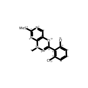 CSc1ncc2c(n1)N(C)N=C(c1c(Cl)cccc1Cl)O2